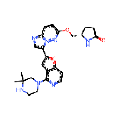 CC1(C)CN(c2nccc3oc(-c4cnc5ccc(OC[C@@H]6CCC(=O)N6)nn45)cc23)CCN1